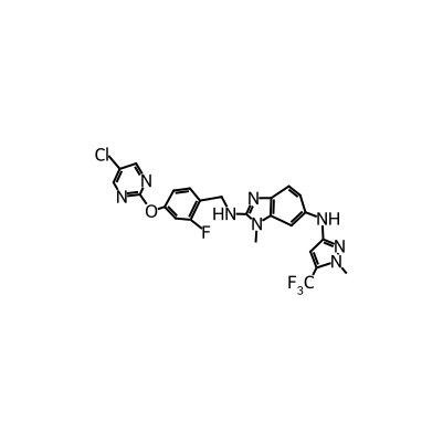 Cn1nc(Nc2ccc3nc(NCc4ccc(Oc5ncc(Cl)cn5)cc4F)n(C)c3c2)cc1C(F)(F)F